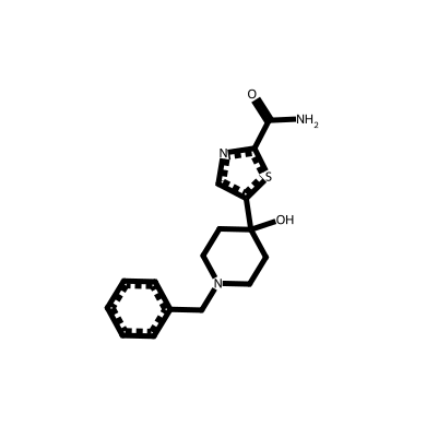 NC(=O)c1ncc(C2(O)CCN(Cc3ccccc3)CC2)s1